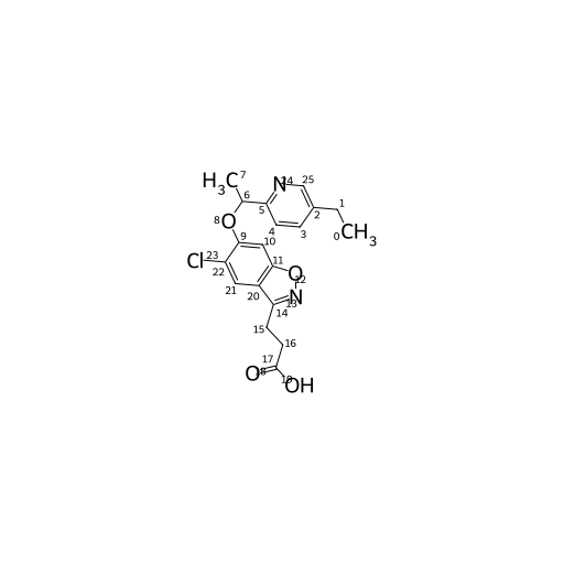 CCc1ccc(C(C)Oc2cc3onc(CCC(=O)O)c3cc2Cl)nc1